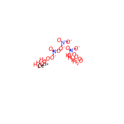 O.O.O.O.O.O.O.O=[N+]([O-])[O-].O=[N+]([O-])[O-].O=[N+]([O-])[O-].[Ce+3]